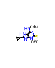 CCCCNc1nc(=S)n(CCC)c2nc(C3CC3)[nH]c12